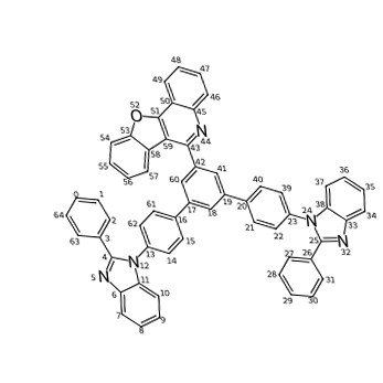 c1ccc(-c2nc3ccccc3n2-c2ccc(-c3cc(-c4ccc(-n5c(-c6ccccc6)nc6ccccc65)cc4)cc(-c4nc5ccccc5c5oc6ccccc6c45)c3)cc2)cc1